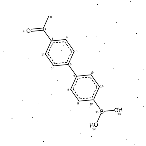 CC(=O)c1ccc(-c2ccc(B(O)O)cc2)cc1